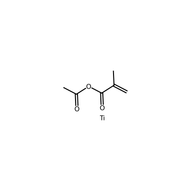 C=C(C)C(=O)OC(C)=O.[Ti]